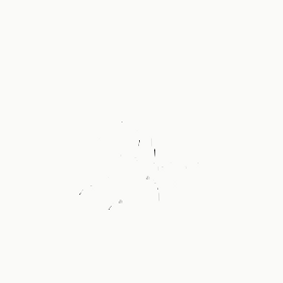 CCC(C)C(=O)O[C@H]1[C@@H]2[C@H](C)C(=O)O[C@@H]2C[C@@H](C)C2[C@@H](C)CC(=O)[C@]21C